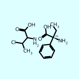 CC(Cl)C(N)C(=O)O.CC[C@@](N)(C(=O)O)c1ccccc1